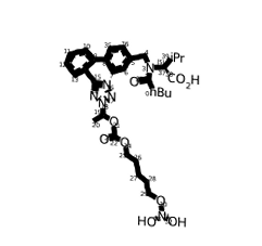 CCCCC(=O)N(Cc1ccc(-c2ccccc2-c2nnn(C(C)OC(=O)OCCCCCON(O)O)n2)cc1)[C@H](C(=O)O)C(C)C